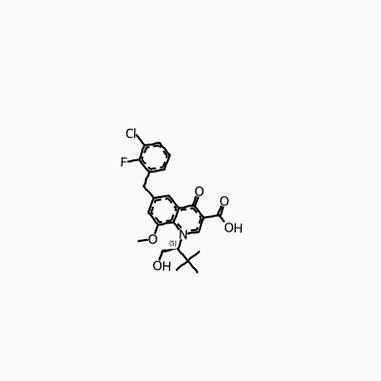 COc1cc(Cc2cccc(Cl)c2F)cc2c(=O)c(C(=O)O)cn([C@H](CO)C(C)(C)C)c12